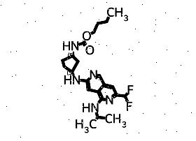 CCCCOC(=O)N[C@H]1CC[C@H](Nc2cc3c(NC(C)C)nc(C(F)F)cc3cn2)C1